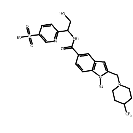 CCn1c(CN2CCC(C(F)(F)F)CC2)cc2cc(C(=O)NC(CO)c3ccc(S(=O)(=O)CC)cn3)ccc21